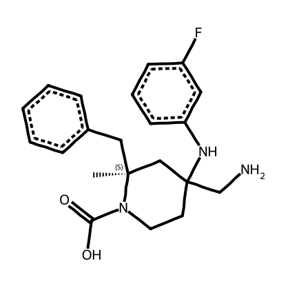 C[C@]1(Cc2ccccc2)CC(CN)(Nc2cccc(F)c2)CCN1C(=O)O